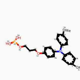 COc1ccc(N(c2ccc(OC)cc2)c2ccc(OCCCOP(O)O)cc2)cc1